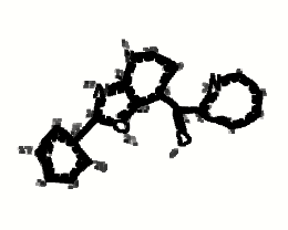 O=C(c1ccccn1)c1ccnc2nc(-c3ccccc3)oc12